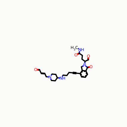 CNC(=O)CCC(C=O)N1Cc2c(C#CCCCNC3CCN(C/C=C/C=O)CC3)cccc2C1=O